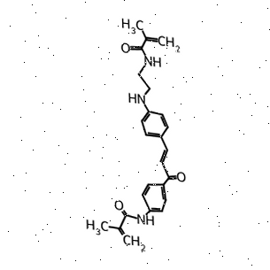 C=C(C)C(=O)NCCNc1ccc(/C=C/C(=O)c2ccc(NC(=O)C(=C)C)cc2)cc1